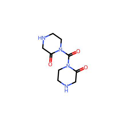 O=C1CNCCN1C(=O)N1CCNCC1=O